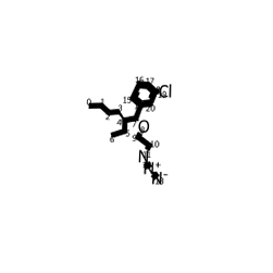 CCCC[C@H](CC)[C@@H](OCCN=[N+]=[N-])c1cccc(Cl)c1